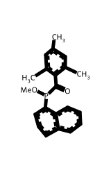 COP(C(=O)c1c(C)cc(C)cc1C)c1cccc2ccccc12